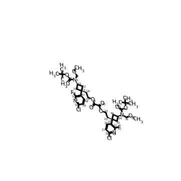 COCN(C(=O)OC(C)(C)C)[C@H]1C[C@](CCOC(=O)C(=O)OCC[C@]2(c3ccc(Cl)nc3F)C[C@H](N(COC)C(=O)OC(C)(C)C)C2)(c2ccc(Cl)nc2F)C1